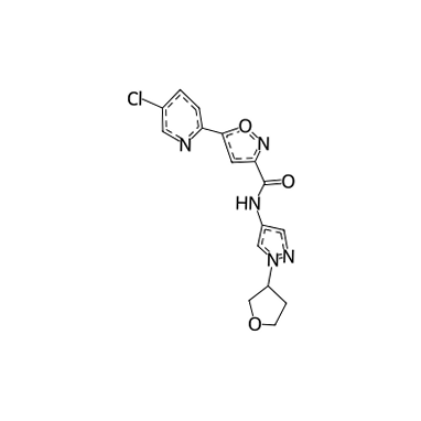 O=C(Nc1cnn(C2CCOC2)c1)c1cc(-c2ccc(Cl)cn2)on1